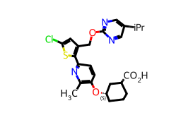 Cc1nc(-c2sc(Cl)cc2COc2ncc(C(C)C)cn2)ccc1O[C@H]1CCCC(C(=O)O)C1